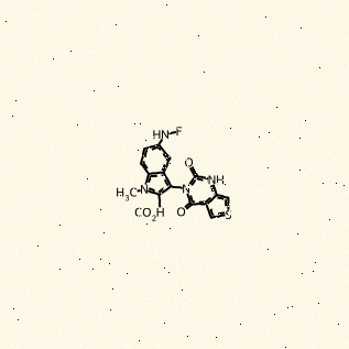 Cn1c(C(=O)O)c(-n2c(=O)[nH]c3cscc3c2=O)c2cc(NF)ccc21